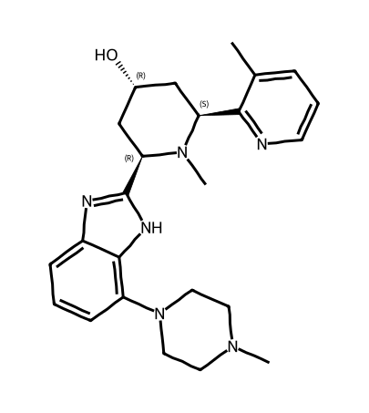 Cc1cccnc1[C@@H]1C[C@@H](O)C[C@H](c2nc3cccc(N4CCN(C)CC4)c3[nH]2)N1C